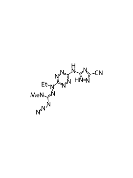 CCN(/N=C(/N=[N+]=[N-])NC)c1nnc(Nc2nc(C#N)n[nH]2)nn1